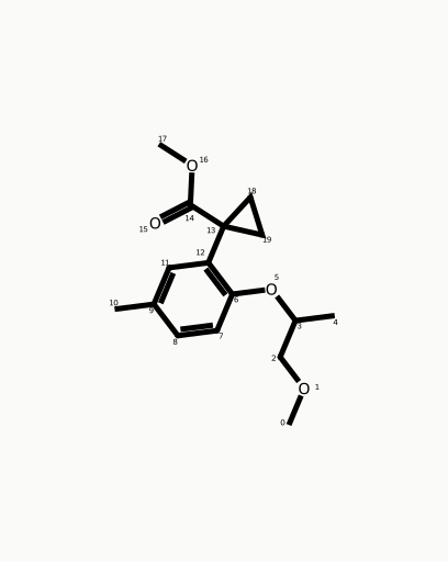 COCC(C)Oc1ccc(C)cc1C1(C(=O)OC)CC1